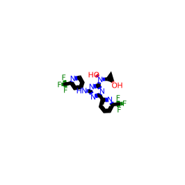 OC1CC1N(O)c1nc(Nc2ccnc(C(F)(F)F)c2)nc(-c2cccc(C(F)(F)F)n2)n1